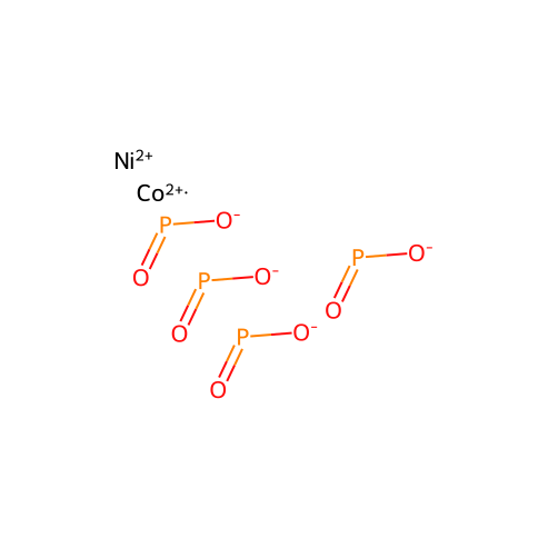 O=P[O-].O=P[O-].O=P[O-].O=P[O-].[Co+2].[Ni+2]